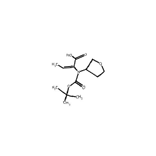 CC=C(C(=O)O)N(C(=O)OC(C)(C)C)C1CCOC1